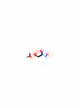 CC(C)OC(=O)C=C1NC(=O)N(C)C1=O